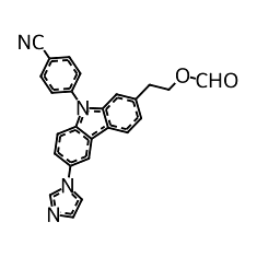 N#Cc1ccc(-n2c3ccc(-n4ccnc4)cc3c3ccc(CCOC=O)cc32)cc1